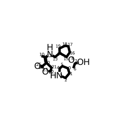 C1CCNCC1.CC(=O)O.CC(NCC1CCCCC1)=C1CCOC1=O